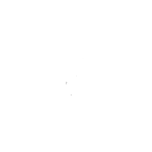 CC[CH]NC(=O)CI